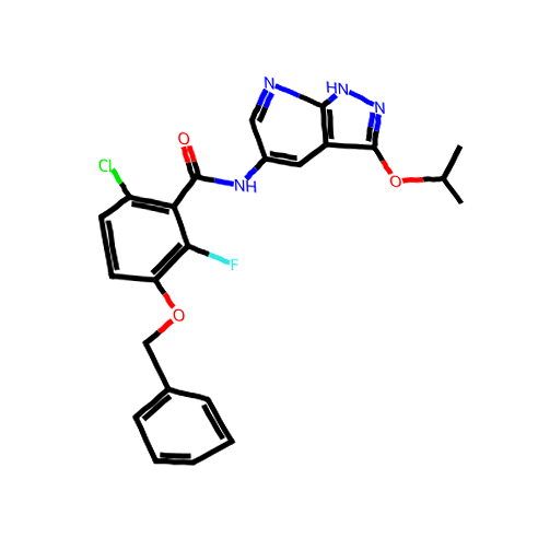 CC(C)Oc1n[nH]c2ncc(NC(=O)c3c(Cl)ccc(OCc4ccccc4)c3F)cc12